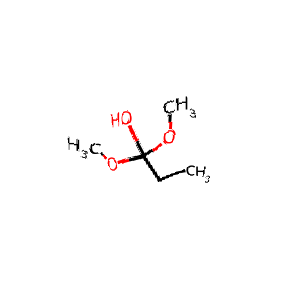 CCC(O)(OC)OC